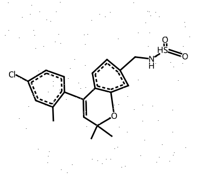 Cc1cc(Cl)ccc1C1=CC(C)(C)Oc2cc(CN[SH](=O)=O)ccc21